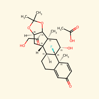 CC(=O)O.CC1(C)O[C@@H]2C[C@H]3[C@@H]4CCC5=CC(=O)C=C[C@]5(C)[C@@]4(F)[C@@H](O)C[C@]3(C)[C@]2(C(=O)CO)O1